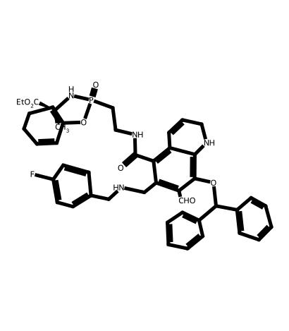 CCOC(=O)[C@H](C)NP(=O)(CCNC(=O)c1c2c(c(OC(c3ccccc3)c3ccccc3)c(C=O)c1CNCc1ccc(F)cc1)NCC=C2)OC1=CCCC=C1